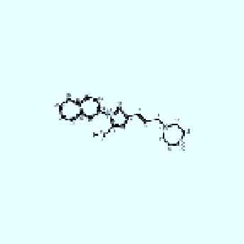 Cc1cc(C=CCN2CCOCC2)nn1-c1ccc2ccccc2c1